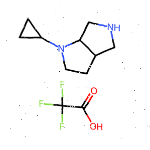 C1CN(C2CC2)C2CNCC12.O=C(O)C(F)(F)F